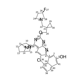 Oc1cc(-c2ccc3c(N4CC5CCC(C4)N5)nc(OCC4(CN5CC[C@@H](F)C5)CC4)nc3n2)c2c(Cl)cccc2c1